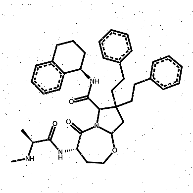 CN[C@@H](C)C(=O)N[C@H]1CCOC2CC(CCc3ccccc3)(CCc3ccccc3)C(C(=O)N[C@@H]3CCCc4ccccc43)N2C1=O